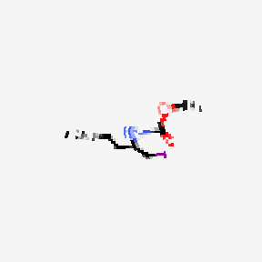 CCCCCCCCCC[C@H](CI)NC(=O)OC(C)(C)C